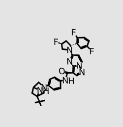 CC(C)(C)C12CC(CN(c3ccc(NC(=O)c4cnn5ccc(N6C[C@@H](F)C[C@@H]6c6cc(F)ccc6F)nc45)cc3)C1)N2